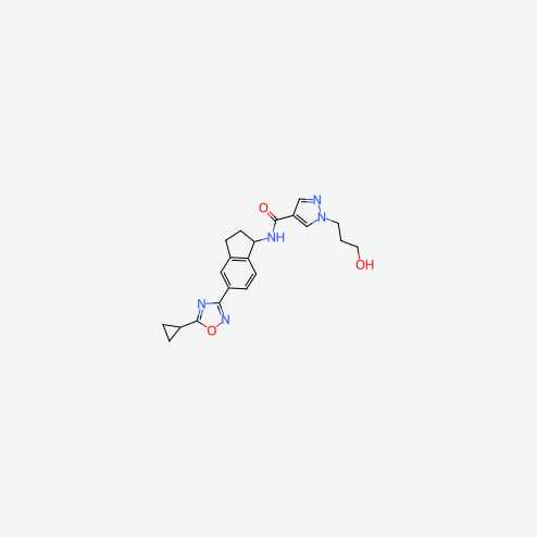 O=C(NC1CCc2cc(-c3noc(C4CC4)n3)ccc21)c1cnn(CCCO)c1